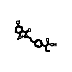 CCC(C(=O)O)c1ccc(CCNC(=O)c2cc(Cl)ccc2OC)cc1